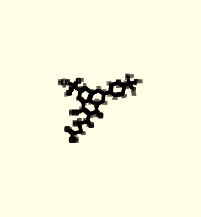 CS(=O)(=O)c1cc2c3c(c1)c(O)c(C(=O)NCC(=O)O)c(=O)n3CC(c1ccc(C(F)(F)F)nc1)C2